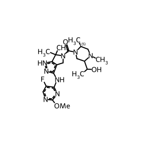 COc1ncc(F)c(Nc2n[nH]c3c2CN(C(=O)N2CC(C(C)O)N(C)C[C@@H]2C)C3(C)C)n1